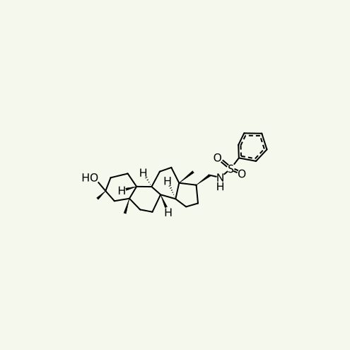 C[C@@]1(O)CC[C@@H]2[C@H]3CC[C@]4(C)[C@@H](CNS(=O)(=O)c5ccccc5)CC[C@H]4[C@@H]3CC[C@]2(C)C1